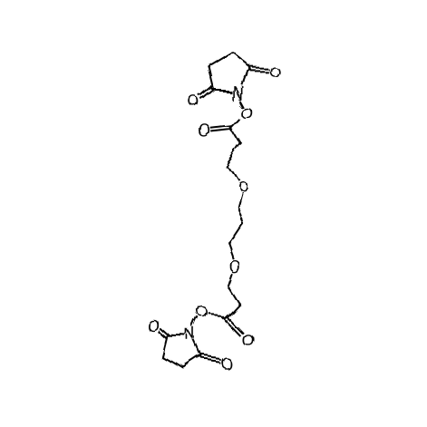 O=C(CCOCCCOCCC(=O)ON1C(=O)CCC1=O)ON1C(=O)CCC1=O